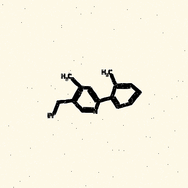 Cc1cc(-c2ccccc2C)ncc1CC(C)C